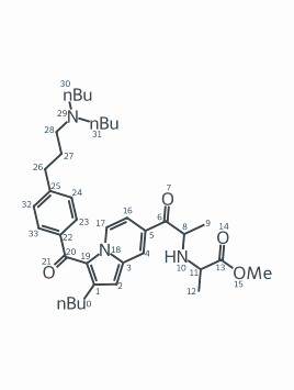 CCCCc1cc2cc(C(=O)C(C)NC(C)C(=O)OC)ccn2c1C(=O)c1ccc(CCCN(CCCC)CCCC)cc1